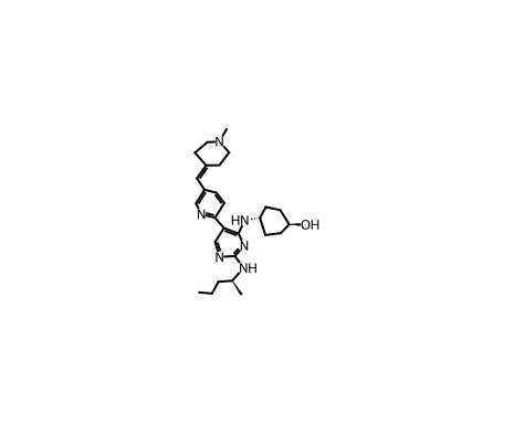 CCC[C@H](C)Nc1ncc(-c2ccc(C=C3CCN(C)CC3)cn2)c(N[C@H]2CC[C@H](O)CC2)n1